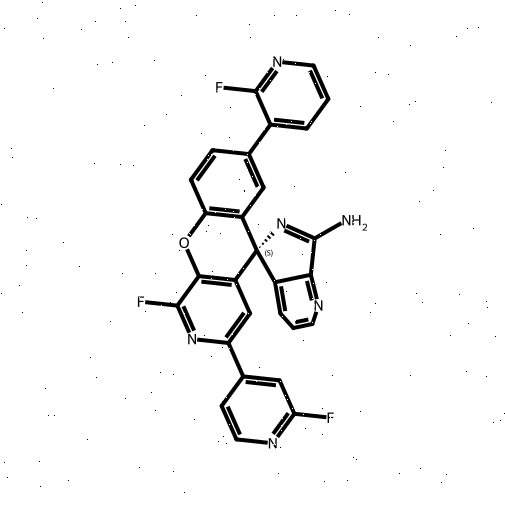 NC1=N[C@]2(c3cc(-c4cccnc4F)ccc3Oc3c2cc(-c2ccnc(F)c2)nc3F)c2cccnc21